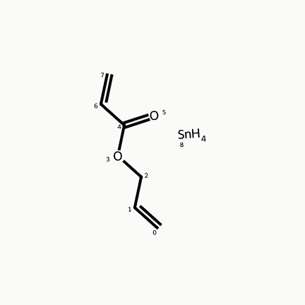 C=CCOC(=O)C=C.[SnH4]